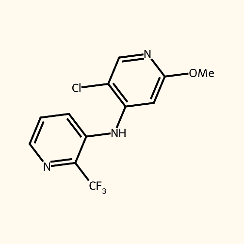 COc1cc(Nc2cccnc2C(F)(F)F)c(Cl)cn1